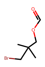 CC(C)(CBr)COC=O